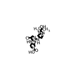 CC(C)(O)c1nc2cc(Nc3ncc(Cl)c(NC4CCN(C(=O)O)CC4F)n3)ccn2n1